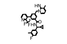 Cc1cc(C(NC(=O)c2cc(Cn3cccc(C)c3=N)cc(-c3cccnc3C(F)(F)F)c2)C2CC2)ccc1F